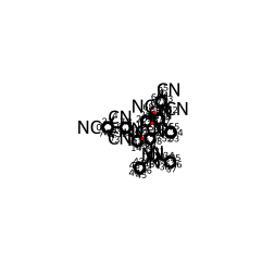 N#Cc1cc(C#N)c(-c2ccc3c(c2)c2ccccc2n3-c2ccc(C#N)cc2-c2ccc(-c3nc(-c4ccccc4)nc(-c4ccccc4)n3)cc2-n2c3ccccc3c3cc(-c4c(C#N)cc(C#N)cc4C#N)ccc32)c(C#N)c1